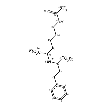 CCOC(=O)C(CCc1ccccc1)N[C@@H](CCCCNC(=O)C(F)(F)F)C(=O)OCC